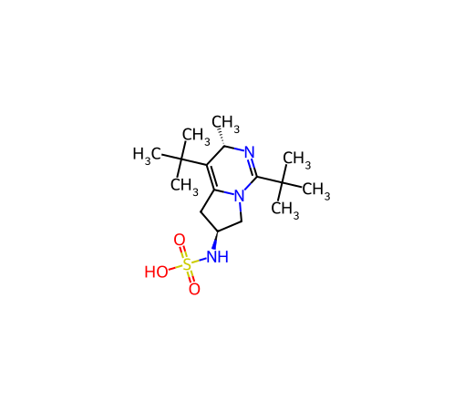 C[C@@H]1N=C(C(C)(C)C)N2C[C@@H](NS(=O)(=O)O)CC2=C1C(C)(C)C